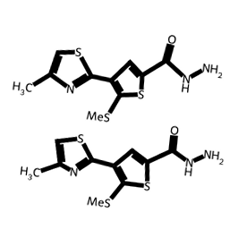 CSc1sc(C(=O)NN)cc1-c1nc(C)cs1.CSc1sc(C(=O)NN)cc1-c1nc(C)cs1